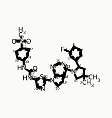 CC1(C)CC(c2cccc(F)c2)N(c2ncnc3c2ccn3-c2ncc(NC(=O)Nc3ccc(S(C)(=O)=O)cc3)s2)C1